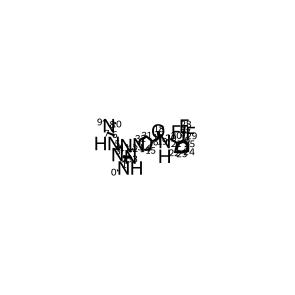 CNc1nc(NCCN(C)C)nc(N2CCC(C(=O)NCc3ccccc3C(F)(F)F)CC2)n1